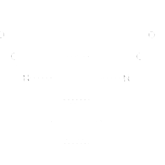 O=C=NC1CCC(N=C=O)c2ccccc21